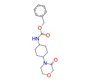 O=C(NC1CCC(N2CCOCC2=O)CC1)OCc1ccccc1